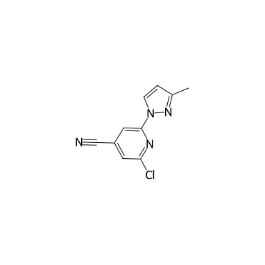 Cc1ccn(-c2cc(C#N)cc(Cl)n2)n1